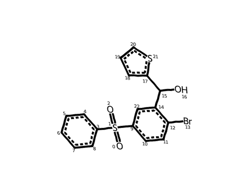 O=S(=O)(c1ccccc1)c1ccc(Br)c(C(O)c2cccs2)c1